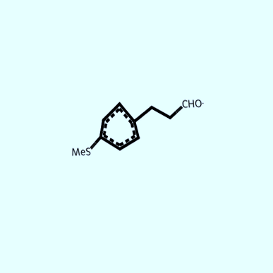 CSc1ccc(CC[C]=O)cc1